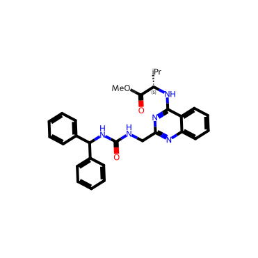 COC(=O)[C@@H](Nc1nc(CNC(=O)NC(c2ccccc2)c2ccccc2)nc2ccccc12)C(C)C